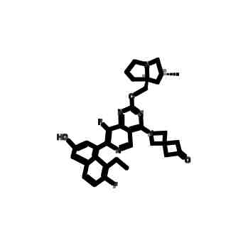 CCc1c(F)ccc2cc(O)cc(-c3ncc4c(N5CC6(CC(=O)C6)C5)nc(OC[C@@]56CCCN5C[C@H](C)C6)nc4c3F)c12